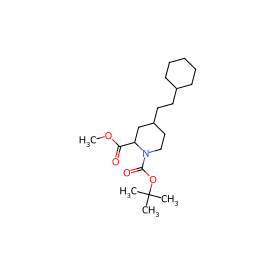 COC(=O)C1CC(CCC2CCCCC2)CCN1C(=O)OC(C)(C)C